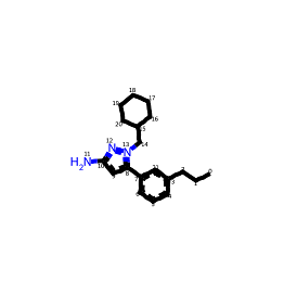 CCCc1cccc(-c2cc(N)nn2CC2CCCCC2)c1